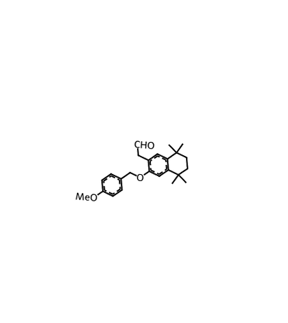 COc1ccc(COc2cc3c(cc2CC=O)C(C)(C)CCC3(C)C)cc1